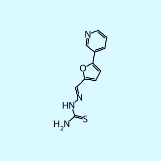 NC(=S)N/N=C/c1ccc(-c2cccnc2)o1